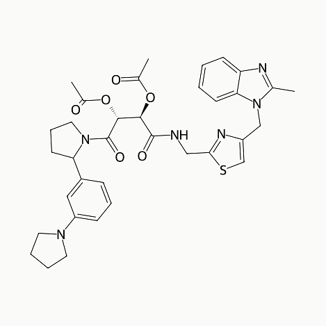 CC(=O)O[C@@H](C(=O)NCc1nc(Cn2c(C)nc3ccccc32)cs1)[C@@H](OC(C)=O)C(=O)N1CCCC1c1cccc(N2CCCC2)c1